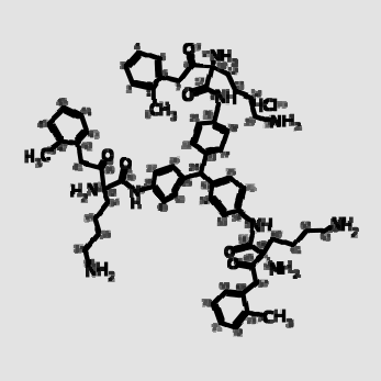 Cc1ccccc1CC(=O)[C@](N)(CCCCN)C(=O)Nc1ccc(C(c2ccc(NC(=O)[C@@](N)(CCCCN)C(=O)Cc3ccccc3C)cc2)c2ccc(NC(=O)[C@@](N)(CCCCN)C(=O)Cc3ccccc3C)cc2)cc1.Cl